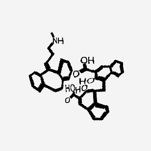 CNCCC=C1c2ccccc2CCc2ccccc21.O=C(O)c1cc2ccccc2c(Cc2c(O)c(C(=O)O)cc3ccccc23)c1O